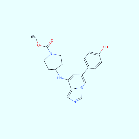 CC(C)(C)OC(=O)N1CCC(Nc2cc(-c3ccc(O)cc3)cn3cncc23)CC1